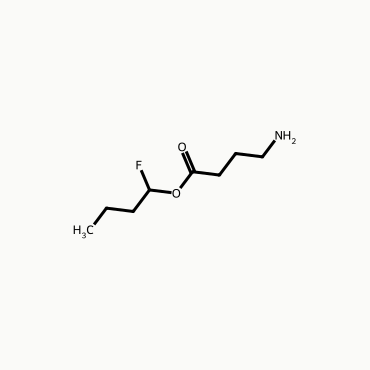 CCCC(F)OC(=O)CCCN